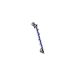 COC(C=C(C)C)C/C(C)=C/C=C/C(C)=C/C=C/C(C)=C/C=C/C=C(C)/C=C/C=C(C)/C=C/C1=C(C)CC(OC)CC1(C)C